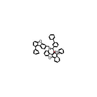 NC(c1cccc(-c2ccccc2)c1)N(Cc1ccc2c(c1)oc1cccc(-c3ccccc3)c12)c1cccc2oc3c4ccccc4c(-c4ccccc4)cc3c12